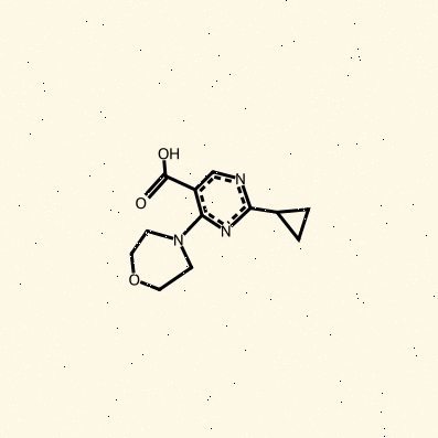 O=C(O)c1cnc(C2CC2)nc1N1CCOCC1